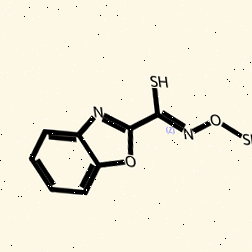 SO/N=C(\S)c1nc2ccccc2o1